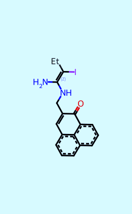 CC/C(I)=C(\N)NCC1=Cc2cccc3cccc(c23)C1=O